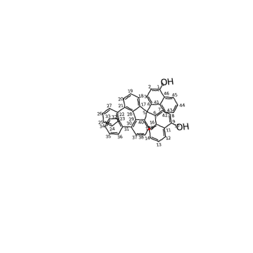 Oc1ccc(C2(c3ccc(O)c4ccccc34)c3cccc(-c4ccccc4)c3-c3c(-c4ccccc4)cccc32)c2ccccc12